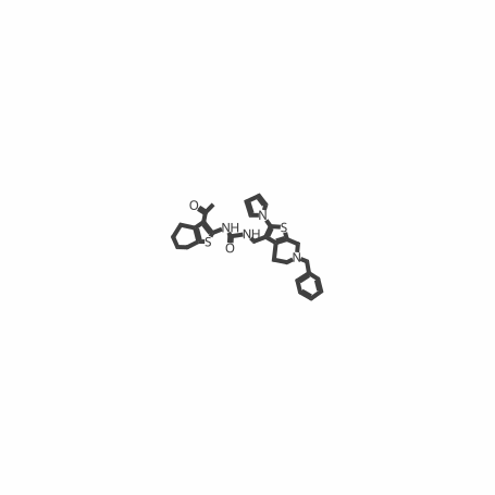 CC(=O)c1c(NC(=O)NCc2c(-n3cccc3)sc3c2CCN(Cc2ccccc2)C3)sc2c1CCCC2